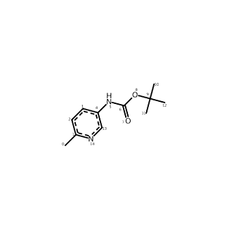 Cc1ccc(NC(=O)OC(C)(C)C)cn1